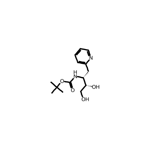 CC(C)(C)OC(=O)N[C@H](Cc1ccccn1)[C@H](O)CO